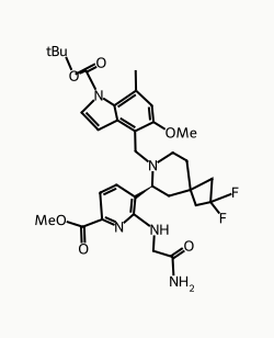 COC(=O)c1ccc([C@@H]2CC3(CCN2Cc2c(OC)cc(C)c4c2ccn4C(=O)OC(C)(C)C)CC(F)(F)C3)c(NCC(N)=O)n1